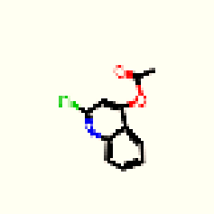 CC(=O)Oc1cc(Cl)nc2ccccc12